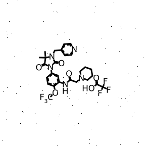 CC1(C)C(=O)N(c2ccc(OC(F)(F)F)c(NC(=O)CN3CCCCC3)c2)C(=O)N1Cc1ccncc1.O=C(O)C(F)(F)F